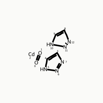 O=O.[Cd].c1c[nH]nn1.c1c[nH]nn1